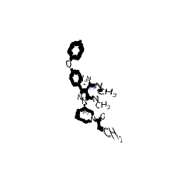 C=CC(=O)N1CCC[C@@H](n2nc(-c3ccc(Oc4ccccc4)cc3)c(/C(N)=N\C)c2N=C)C1